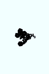 CS(=O)(=O)OCC1CN(Cc2ccccc2)CN1C(=O)C1C[N@@]1C(c1ccccc1)(c1ccccc1)c1ccccc1